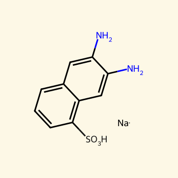 Nc1cc2cccc(S(=O)(=O)O)c2cc1N.[Na]